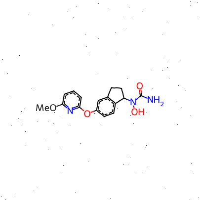 COc1cccc(Oc2ccc3c(c2)CCC3N(O)C(N)=O)n1